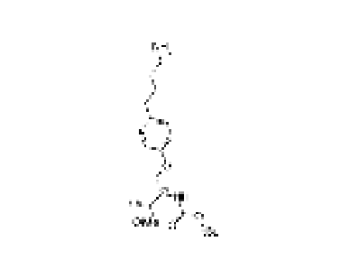 COC(=O)[C@H](COc1ccc(CCCCN)cc1)NC(=O)OC(C)(C)C